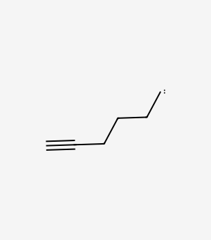 [CH]CCCC#C